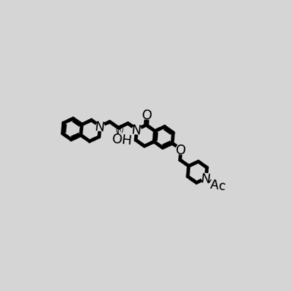 CC(=O)N1CCC(COc2ccc3c(c2)CCN(C[C@H](O)CN2CCc4ccccc4C2)C3=O)CC1